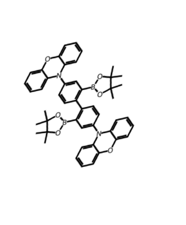 CC1(C)OB(c2cc(N3c4ccccc4Oc4ccccc43)ccc2-c2ccc(N3c4ccccc4Oc4ccccc43)cc2B2OC(C)(C)C(C)(C)O2)OC1(C)C